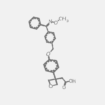 CON=C(c1ccccc1)c1ccc(COc2ccc(C3(CC(=O)O)COC3)cc2)cc1